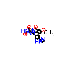 COc1ccc2c(c1)C(=O)N(C[C@@]1(C#Cc3ccc(-c4ncc[nH]4)cc3)NC(=O)NC1=O)C2